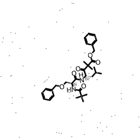 CC(C)C[C@H](NC(=O)[C@H](COCc1ccccc1)NC(=O)C(C)(C)C)C(=O)C(C)(C)C(=O)OCc1ccccc1